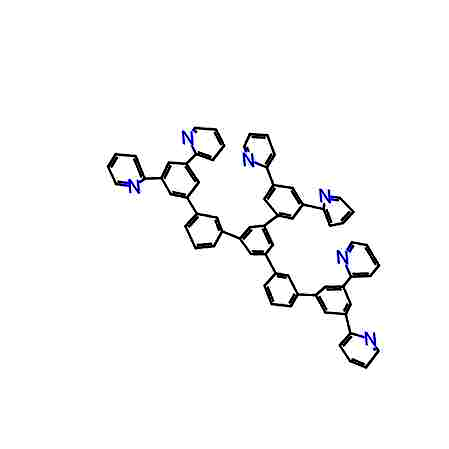 c1ccc(-c2cc(-c3cccc(-c4cc(-c5cccc(-c6cc(-c7ccccn7)cc(-c7ccccn7)c6)c5)cc(-c5cc(-c6ccccn6)cc(-c6ccccn6)c5)c4)c3)cc(-c3ccccn3)c2)nc1